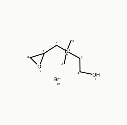 C[N+](C)(CCO)CC1CO1.[Br-]